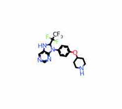 FC(F)(F)C(F)(F)C1Nc2cncnc2N1c1ccc(OC2CCNCC2)cc1